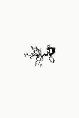 CC(C)(P)NC(=O)CCN1C(=O)C=CC1=O